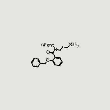 CCCCCN(CCCN)C(=O)c1ccccc1OCc1ccccc1